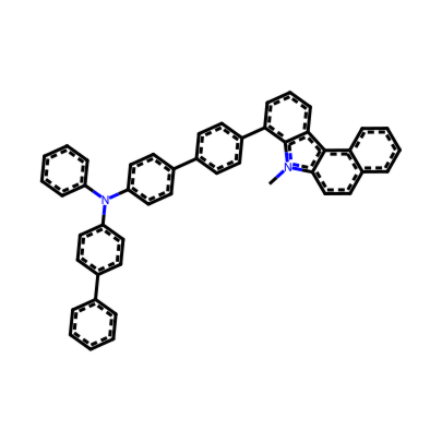 Cn1c2ccc3ccccc3c2c2cccc(-c3ccc(-c4ccc(N(c5ccccc5)c5ccc(-c6ccccc6)cc5)cc4)cc3)c21